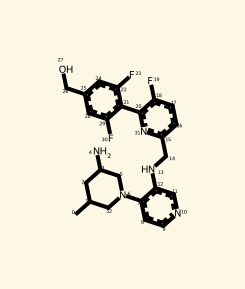 CC1CC(N)CN(c2ccncc2NCc2ccc(F)c(-c3c(F)cc(CO)cc3F)n2)C1